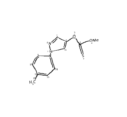 COC(=S)Oc1cnn(-c2ccc(C)cc2)c1